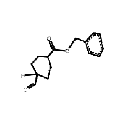 O=CC1(F)CCC(C(=O)OCc2ccccc2)CC1